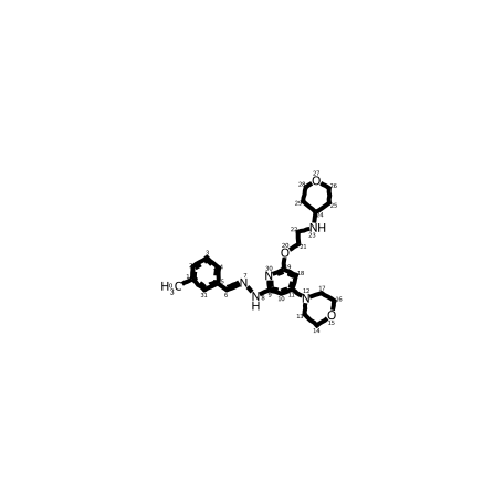 Cc1cccc(/C=N/Nc2cc(N3CCOCC3)cc(OCCNC3CCOCC3)n2)c1